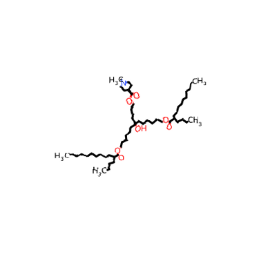 CCCCCCCCCCC(CCCC)C(=O)OCCCCCCC(O)(CCCCCCOC(=O)C(CCCC)CCCCCCCCCC)CCCCOC(=O)C1CCN(C)CC1